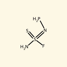 NS(F)(=S)=NP